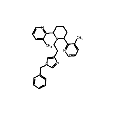 Cc1cccnc1C1CCCC(c2ncccc2C)N1CCc1cn(Cc2ccccc2)cn1